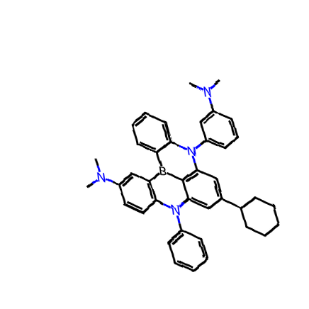 CN(C)c1cccc(N2c3ccccc3B3c4cc(N(C)C)ccc4N(c4ccccc4)c4cc(C5CCCCC5)cc2c43)c1